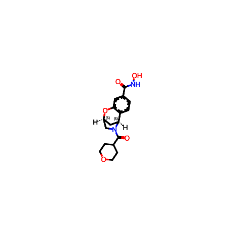 O=C(NO)c1ccc2c(c1)O[C@H]1C[C@@H]2N(C(=O)C2CCOCC2)C1